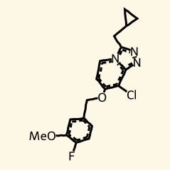 COc1cc(COc2ccn3c(CC4CC4)nnc3c2Cl)ccc1F